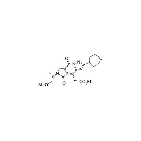 CCOC(=O)Cn1c2c(c(=O)n3nc(C4CCOCC4)cc13)CN([C@@H](C)COC)C2=O